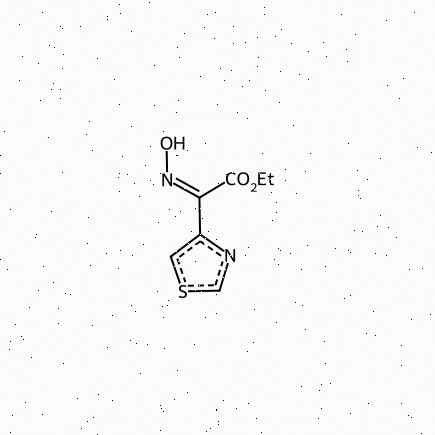 CCOC(=O)C(=NO)c1cscn1